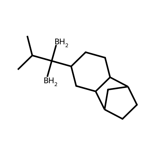 BC(B)(C(C)C)C1CCC2C3CCC(C3)C2C1